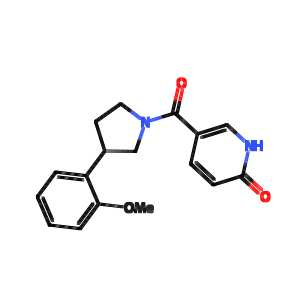 COc1ccccc1C1CCN(C(=O)c2ccc(=O)[nH]c2)C1